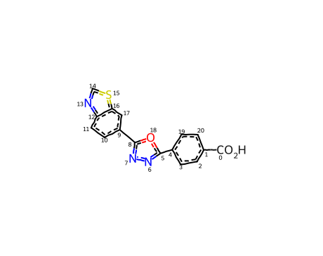 O=C(O)c1ccc(-c2nnc(-c3ccc4ncsc4c3)o2)cc1